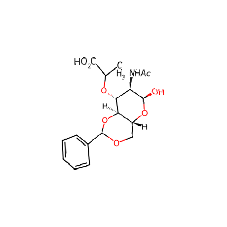 CC(=O)N[C@@H]1[C@@H](OC(C)C(=O)O)[C@@H]2OC(c3ccccc3)OC[C@H]2O[C@@H]1O